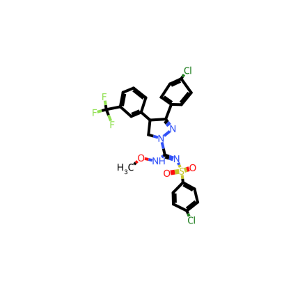 CON/C(=N\S(=O)(=O)c1ccc(Cl)cc1)N1CC(c2cccc(C(F)(F)F)c2)C(c2ccc(Cl)cc2)=N1